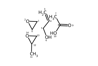 C1CO1.C=CCO.CC(=O)O.CC1CO1